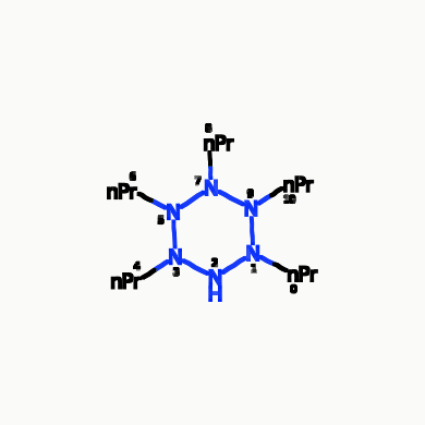 CCCN1NN(CCC)N(CCC)N(CCC)N1CCC